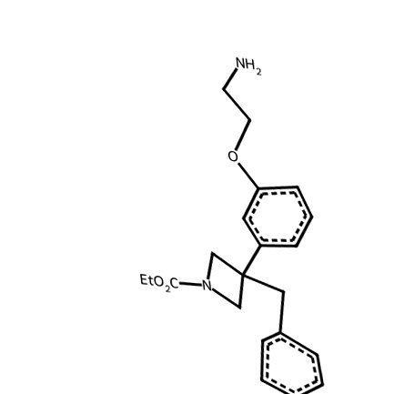 CCOC(=O)N1CC(Cc2ccccc2)(c2cccc(OCCN)c2)C1